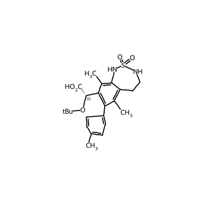 Cc1ccc(-c2c(C)c3c(c(C)c2[C@H](OC(C)(C)C)C(=O)O)NS(=O)(=O)NCC3)cc1